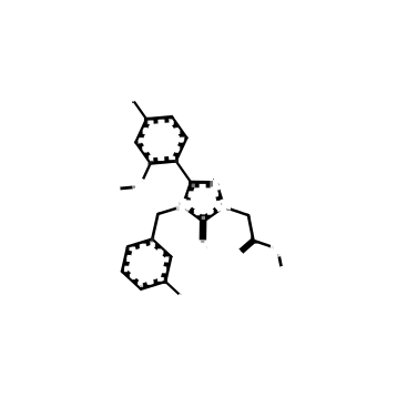 COC(=O)Cn1nc(-c2ccc(Cl)cc2OC)n(Cc2cccc(F)c2)c1=O